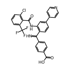 N=C(c1ccc(C(=O)O)cc1)c1ccc(-c2ccncc2)cc1NC(=O)c1c(Cl)cccc1C(F)(F)F